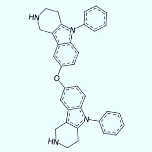 c1ccc(-n2c3c(c4cc(Oc5ccc6c(c5)c5c(n6-c6ccccc6)CCNC5)ccc42)CNCC3)cc1